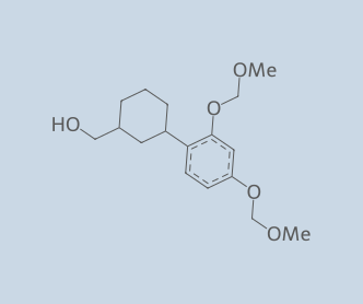 COCOc1ccc(C2CCCC(CO)C2)c(OCOC)c1